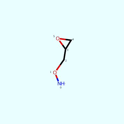 [NH]OCC1CO1